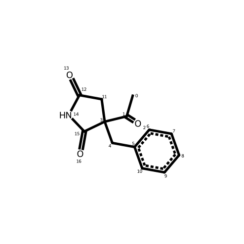 CC(=O)C1(Cc2ccccc2)CC(=O)NC1=O